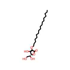 CCCCCCCCCCCCCCCCCCOC1=C(O)[C@@H](C(O)CO)OC1=O